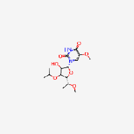 COc1cn([C@@H]2O[C@H](C(C)OC)C(OC(C)C)C2O)c(=O)[nH]c1=O